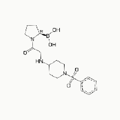 O=C(CNC1CCN(S(=O)(=O)c2ccccc2)CC1)N1CCC[C@H]1B(O)O